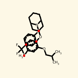 Cc1ccc(OC2CC3CCCC(C2)N3Oc2ccc(C(F)(F)F)cn2)c(OCC(C)C)c1